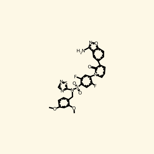 COc1ccc(CN(c2ncns2)S(=O)(=O)c2cc(F)c(-n3cccc(-c4ccc5onc(N)c5c4)c3=O)cc2F)c(OC)c1